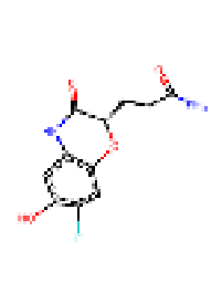 NC(=O)CC[C@H]1Oc2cc(F)c(O)cc2NC1=O